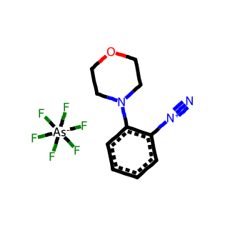 F[As-](F)(F)(F)(F)F.N#[N+]c1ccccc1N1CCOCC1